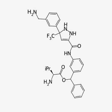 CC(C)[C@H](N)C(=O)OC(c1ccccc1)c1cccc(NC(=O)C2=CC(c3cccc(CN)c3)(C(F)(F)F)NN2)c1